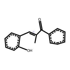 C/C(=C\c1ccccc1O)C(=O)c1ccccc1